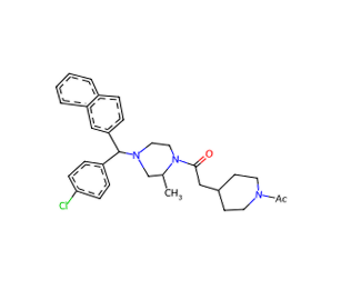 CC(=O)N1CCC(CC(=O)N2CCN(C(c3ccc(Cl)cc3)c3ccc4ccccc4c3)CC2C)CC1